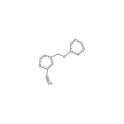 C#Cc1cccc(COc2cc[c]cc2)c1